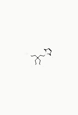 O=C1C=CC(=O)N1CCC(CCO)(CCO)CCO